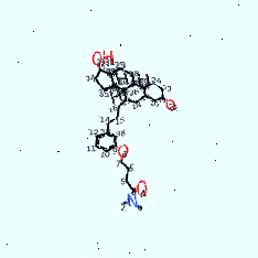 CN(C)C(=O)CCCOc1cccc(CCCC2CC3CC(=O)CC[C@]3(C)[C@@H]3CC[C@]4(C)C(O)CC[C@H]4[C@H]23)c1